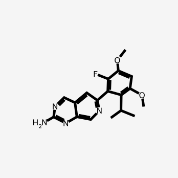 COc1cc(OC)c(C(C)C)c(-c2cc3cnc(N)nc3cn2)c1F